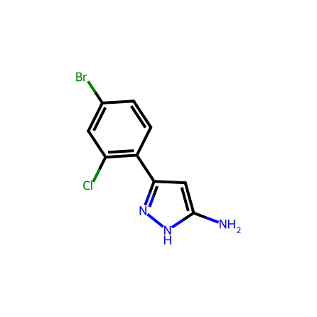 Nc1cc(-c2ccc(Br)cc2Cl)n[nH]1